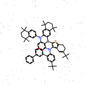 Cc1cc2c3c(c1)N(c1ccc(C(C)(C)C)cc1-c1cccc(-c4ccccc4)c1)c1c(sc4c1C=C(C(C)(C)C)CC4)B3c1cc3c(cc1N2c1ccc2c(c1)C(C)(C)CCC2(C)C)C(C)(C)CCC3(C)C